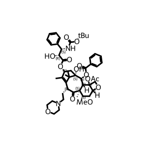 CO[C@H]1C[C@H]2OC[C@@]2(OC(C)=O)[C@H]2[C@H](OC(=O)c3ccccc3)[C@]3(O)C[C@H](OC(=O)[C@H](O)[C@@H](NC(=O)OC(C)(C)C)c4ccccc4)C(C)=C([C@@H](CCN4CCOCC4)C(=O)[C@]12C)C3(C)C